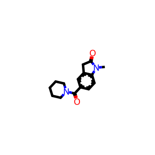 CN1C(=O)Cc2cc(C(=O)N3CCCCC3)ccc21